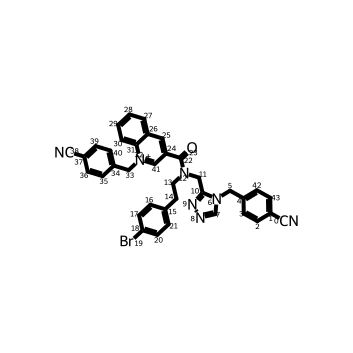 N#Cc1ccc(Cn2cnnc2CN(CCc2ccc(Br)cc2)C(=O)c2cc3ccccc3[n+](Cc3ccc(C#N)cc3)c2)cc1